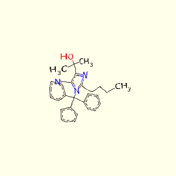 CCCCc1nc(C(C)(C)O)c(C#N)n1C(c1ccccc1)(c1ccccc1)c1ccccc1